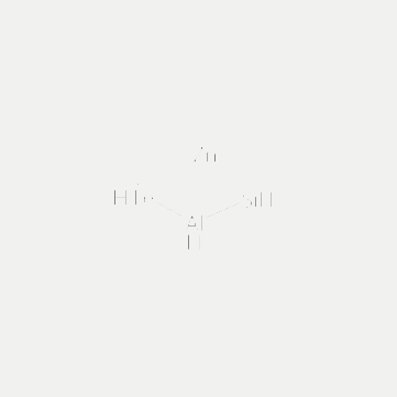 [SiH3][AlH][TeH].[Zn]